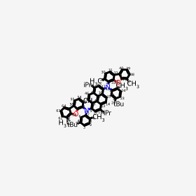 Cc1ccc(C(C)(C)C)cc1N(c1cc(C(C)C)c2ccc3c(N(c4cc(C(C)(C)C)ccc4C)c4c(C)ccc5c4oc4c(C)cccc45)cc(C(C)C)c4ccc1c2c43)c1c(C)ccc2c1oc1c(C)cccc12